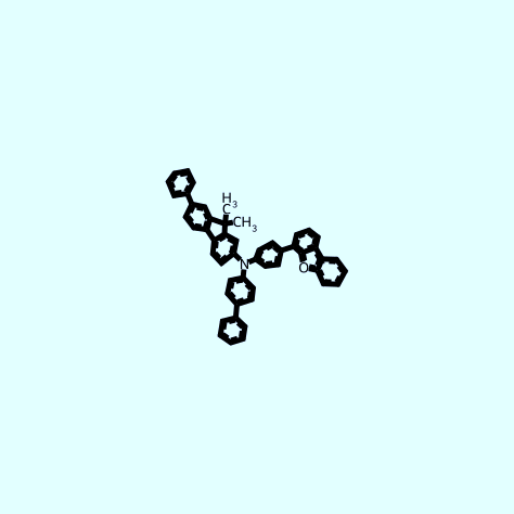 CC1(C)c2cc(-c3ccccc3)ccc2-c2ccc(N(c3ccc(-c4ccccc4)cc3)c3ccc(-c4cccc5c4oc4ccccc45)cc3)cc21